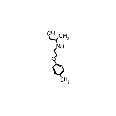 Cc1ccc(OCCNC(C)CO)cc1